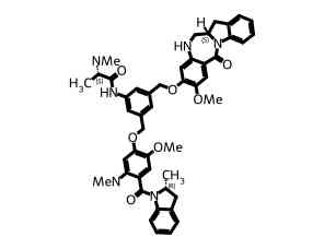 CNc1cc(OCc2cc(COc3cc4c(cc3OC)C(=O)N3c5ccccc5C[C@H]3CN4)cc(NC(=O)[C@H](C)NC)c2)c(OC)cc1C(=O)N1c2ccccc2C[C@H]1C